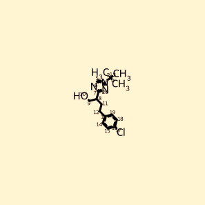 CC(C)(C)n1cnc(C(CO)CCc2ccc(Cl)cc2)n1